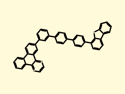 c1cc(-c2ccc(-c3ccc(-c4cccc5c4sc4ccccc45)cc3)cc2)cc(-c2ccc3c4ccccc4c4nccnc4c3c2)c1